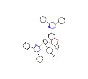 Cc1ccc2c(c1)C1(c3ccccc3Oc3cc(-c4nc(-c5ccccc5)cc(-c5ccccc5)n4)ccc31)c1cccc(-c3nc(-c4ccccc4)cc(-c4ccccc4)n3)c1-2